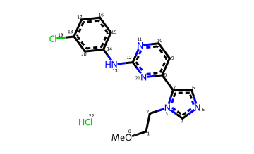 COCCn1cncc1-c1ccnc(Nc2cccc(Cl)c2)n1.Cl